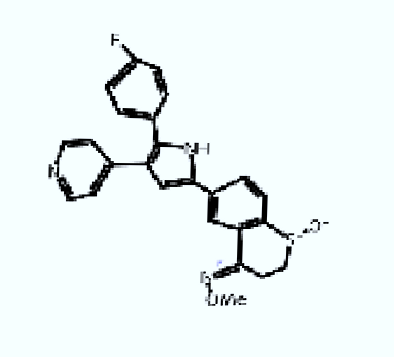 CO/N=C1\CC[S+]([O-])c2ccc(-c3cc(-c4ccncc4)c(-c4ccc(F)cc4)[nH]3)cc21